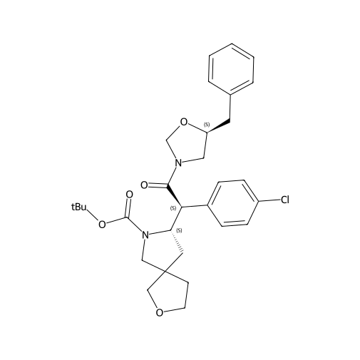 CC(C)(C)OC(=O)N1CC2(CCOC2)C[C@H]1[C@@H](C(=O)N1CO[C@@H](Cc2ccccc2)C1)c1ccc(Cl)cc1